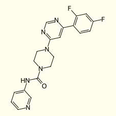 O=C(Nc1cccnc1)N1CCN(c2cc(-c3ccc(F)cc3F)ncn2)CC1